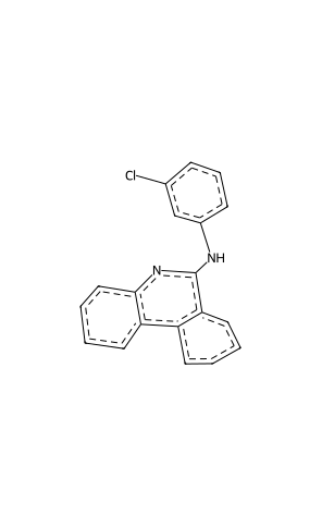 Clc1cccc(Nc2nc3ccccc3c3ccccc23)c1